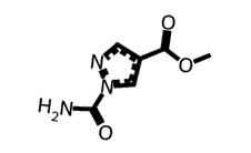 COC(=O)c1cnn(C(N)=O)c1